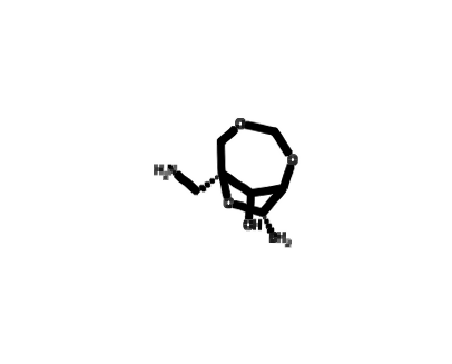 B[C@@H]1O[C@@]2(CN)COCOC1C2O